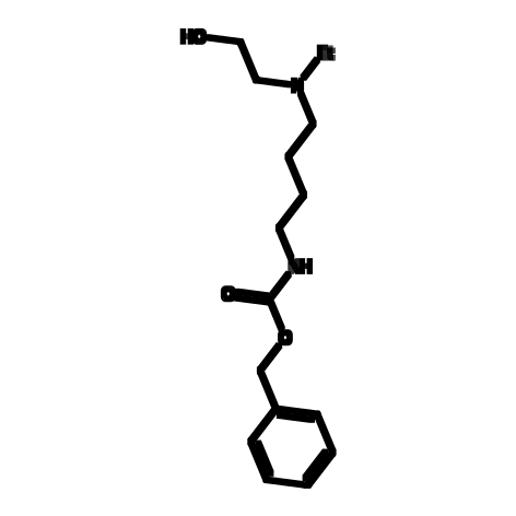 CCN(CCO)CCCCNC(=O)OCc1ccccc1